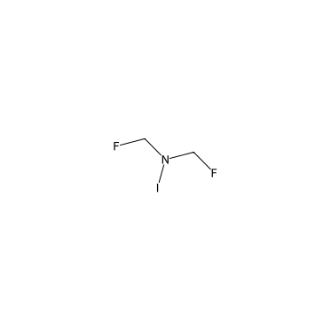 FCN(I)CF